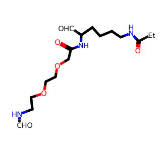 CCC(=O)NCCCCC(C=O)NC(=O)COCCOCCNC=O